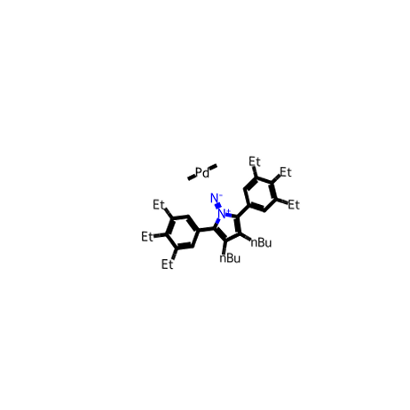 CCCCC1=C(c2cc(CC)c(CC)c(CC)c2)[N+](=[N-])C(c2cc(CC)c(CC)c(CC)c2)=C1CCCC.[CH3][Pd][CH3]